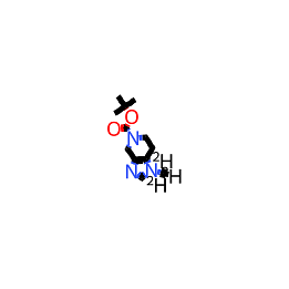 [2H]C([2H])([2H])n1cnc2c1CCN(C(=O)OC(C)(C)C)C2